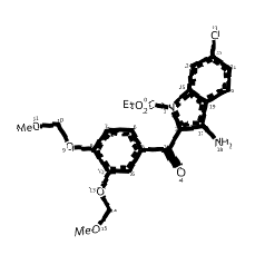 CCOC(=O)n1c(C(=O)c2ccc(OCOC)c(OCOC)c2)c(N)c2ccc(Cl)cc21